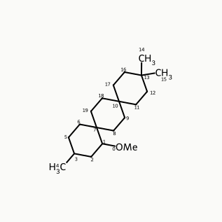 COC1CC(C)CCC12CCC1(CCC(C)(C)CC1)CC2